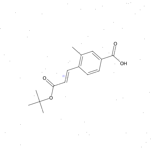 Cc1cc(C(=O)O)ccc1/C=C/C(=O)OC(C)(C)C